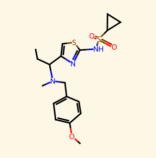 CCC(c1csc(NS(=O)(=O)C2CC2)n1)N(C)Cc1ccc(OC)cc1